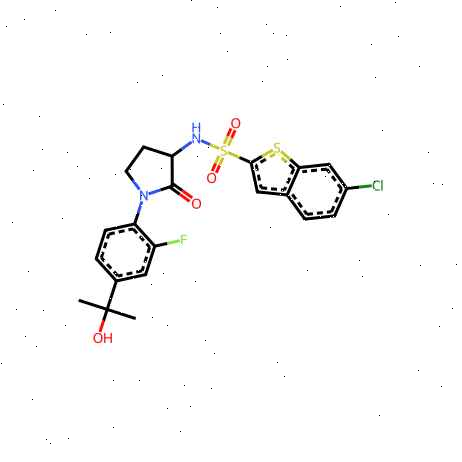 CC(C)(O)c1ccc(N2CCC(NS(=O)(=O)c3cc4ccc(Cl)cc4s3)C2=O)c(F)c1